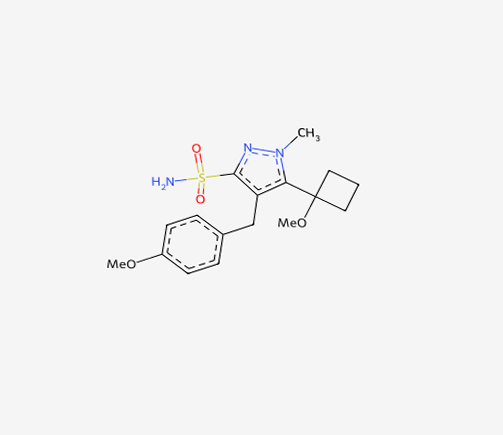 COc1ccc(Cc2c(S(N)(=O)=O)nn(C)c2C2(OC)CCC2)cc1